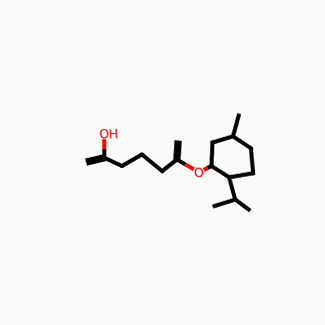 C=C(O)CCCC(=C)OC1CC(C)CCC1C(C)C